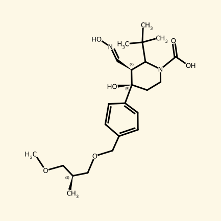 COC[C@H](C)COCc1ccc([C@@]2(O)CCN(C(=O)O)C(C(C)(C)C)[C@@H]2C=NO)cc1